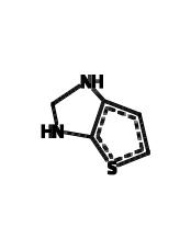 c1cc2c(s1)NCN2